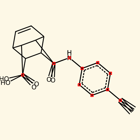 C#Cc1ccc(NC(=O)C2C3C=CC(C2C(=O)O)C(C(=O)O)C3C(=O)Nc2ccc(C#C)cc2)cc1